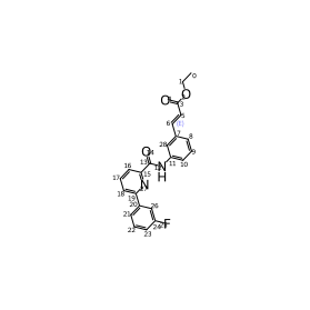 CCOC(=O)/C=C/c1cccc(NC(=O)c2cccc(-c3cccc(F)c3)n2)c1